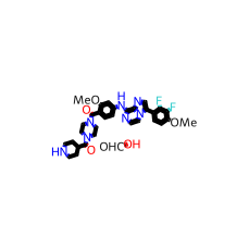 COc1cc(Nc2nccn3c(-c4ccc(OC)c(F)c4F)cnc23)ccc1C(=O)N1CCN(C(=O)C2CCNCC2)CC1.O=CO